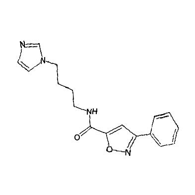 O=C(NCCCCn1ccnc1)c1cc(-c2ccccc2)no1